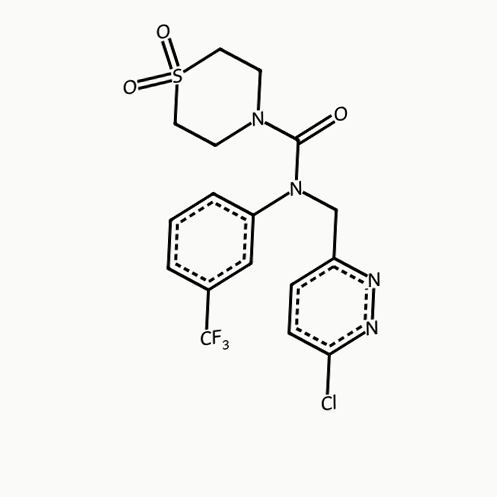 O=C(N1CCS(=O)(=O)CC1)N(Cc1ccc(Cl)nn1)c1cccc(C(F)(F)F)c1